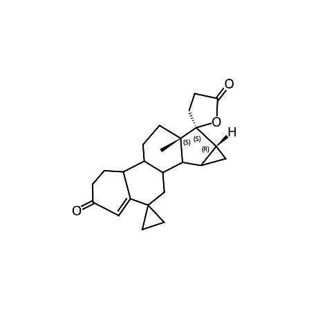 C[C@]12CCC3C4CCC(=O)C=C4C4(CC4)CC3C1C1C[C@H]1[C@@]21CCC(=O)O1